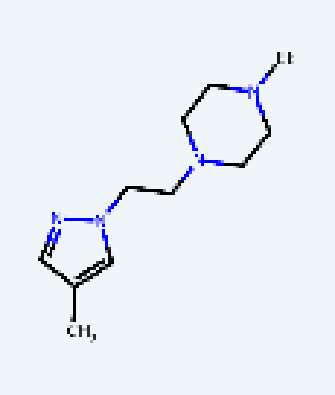 CCN1CCN(CCn2cc(C)cn2)CC1